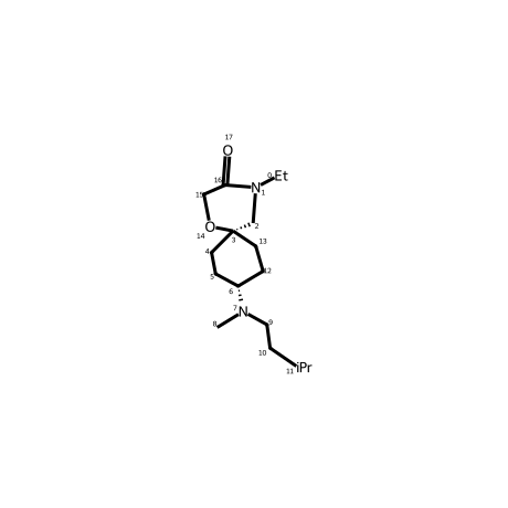 CCN1C[C@]2(CC[C@@H](N(C)CCC(C)C)CC2)OCC1=O